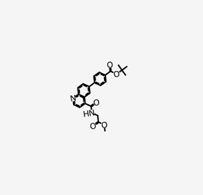 COC(=O)CNC(=O)c1ccnc2ccc(-c3ccc(C(=O)OC(C)(C)C)cc3)cc12